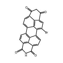 O=C1NC(=O)c2ccc3c4c(Br)cc5c6c(ccc(c7ccc1c2c73)c64)C(=O)CC5=O